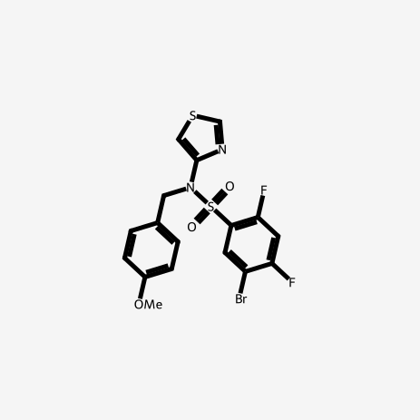 COc1ccc(CN(c2cscn2)S(=O)(=O)c2cc(Br)c(F)cc2F)cc1